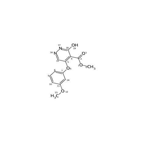 COC(=O)c1c(Oc2cccc(OC)c2)cnnc1O